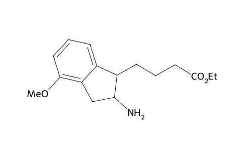 CCOC(=O)CCCC1c2cccc(OC)c2CC1N